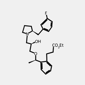 CCOC(=O)CCc1ccccc1[C@@H](C)OC[C@H](O)CN1CCC[C@H]1Cc1cccc(F)c1